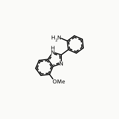 COc1cccc2[nH]c(-c3ccccc3N)nc12